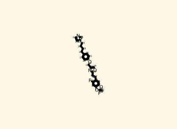 Fc1cc2c(cc1/C=C/c1nc(COc3ccc(CCCCn4ccnn4)cc3)co1)OC(F)(F)O2